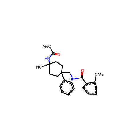 COC(=O)NC1(C#N)CCC(CNC(=O)c2ccccc2OC)(c2ccccc2)CC1